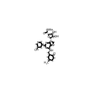 CNC(=O)[C@H]1O[C@@H](n2cnc3c(NCc4cc(C)ccc4Cl)nc(-c4cncc(Cl)c4)nc32)[C@H](O)[C@@H]1O